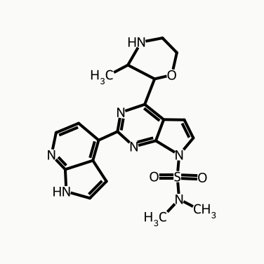 CC1NCCOC1c1nc(-c2ccnc3[nH]ccc23)nc2c1ccn2S(=O)(=O)N(C)C